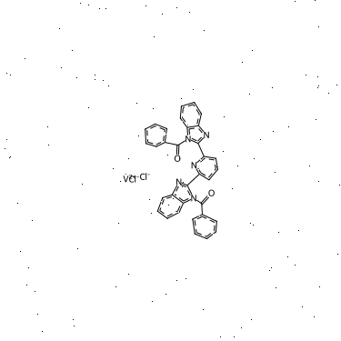 O=C(c1ccccc1)n1c(-c2cccc(-c3nc4ccccc4n3C(=O)c3ccccc3)n2)nc2ccccc21.[Cl-].[Cl-].[V+2]